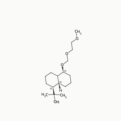 COCCOCO[C@H]1CCC[C@H]2C1CCC[C@@H]2C(C)(C)O